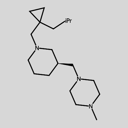 CC(C)CC1(CN2CCC[C@H](CN3CCN(C)CC3)C2)CC1